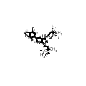 COC(C)(C)CCn1nc(NC(=O)CC(C)(C)C)c2cc(-c3cc(F)c4c(c3F)OCO4)cnc21